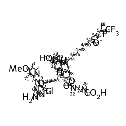 COc1c(C)cnc(Cn2cc(C#CCCc3cc(OC(=O)N(C)CCN(C)C(=O)O)cc4c3[C@H]3CC[C@]5(C)[C@@H](O)CC[C@H]5[C@@H]3[C@H](CCCCCCCCC[S+]([O-])CCCC(F)(F)C(F)(F)F)C4)c3c(Cl)nc(N)nc32)c1C